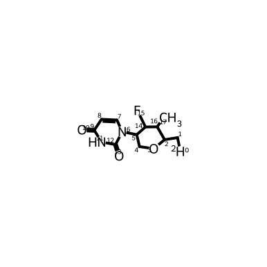 [2H]CC1OCC(n2ccc(=O)[nH]c2=O)C(F)C1C